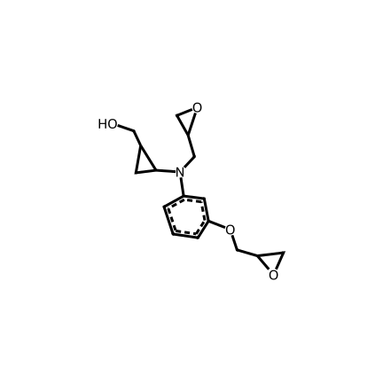 OCC1CC1N(CC1CO1)c1cccc(OCC2CO2)c1